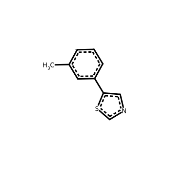 Cc1[c]ccc(-c2cncs2)c1